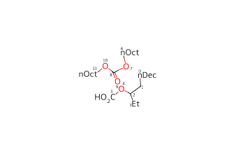 CCCCCCCCCCCC(CC)OC(=O)O.CCCCCCCCOC(=O)OCCCCCCCC